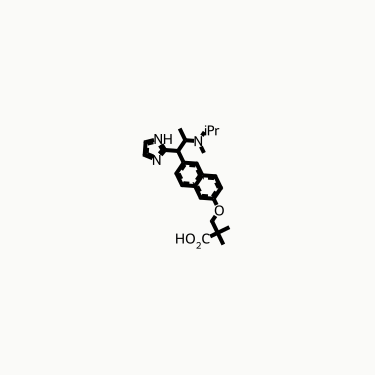 CC(C)N(C)C(C)C(c1ccc2cc(OCC(C)(C)C(=O)O)ccc2c1)c1ncc[nH]1